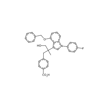 CC(CO)(Cc1ccc(C(=O)O)cc1)c1cn(-c2ccc(F)cc2)c2cccc(OCc3ccccc3)c12